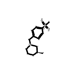 C[C@H]1CCCN(Cc2ccc(S(C)(=O)=O)cc2)C1